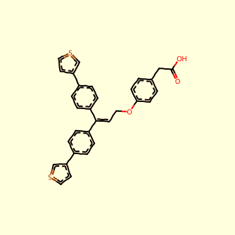 O=C(O)Cc1ccc(OCC=C(c2ccc(-c3ccsc3)cc2)c2ccc(-c3ccsc3)cc2)cc1